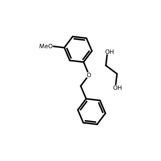 COc1cccc(OCc2ccccc2)c1.OCCO